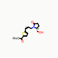 COC(=O)c1ccc(/C=C\CN2C(=O)CC[C@@H]2CO)s1